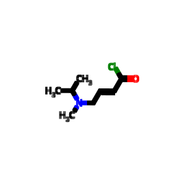 CC(C)N(C)C/C=C/C(=O)Cl